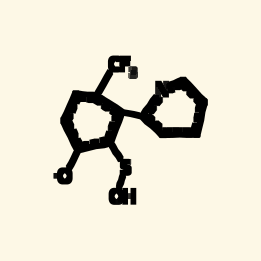 [O]c1ccc(C(F)(F)F)c(-c2ccccn2)c1SO